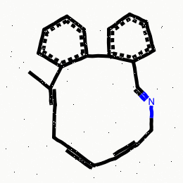 C/C1=C\C/C=C\C=C/C/N=C/c2ccccc2-c2ccccc21